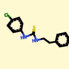 S=C(NCCc1ccccc1)Nc1ccc(Cl)cc1